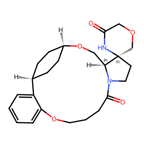 O=C1COC[C@@]2(CCN3C(=O)CCCOc4ccccc4[C@H]4CC[C@H](CC4)OC[C@H]32)N1